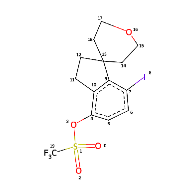 O=S(=O)(Oc1ccc(I)c2c1CCC21CCOCC1)C(F)(F)F